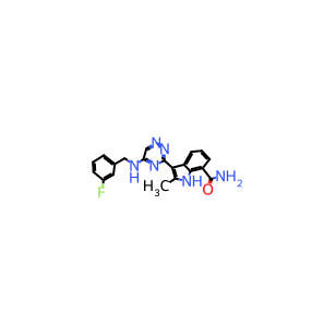 Cc1[nH]c2c(C(N)=O)cccc2c1-c1nncc(NCc2cccc(F)c2)n1